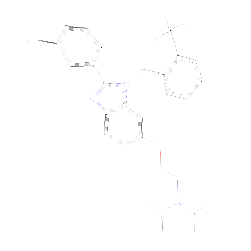 Cc1cccc(-c2nc3ccc(OCCN(C(C)C)C(C)C)cc3n2Cc2ccccc2C(F)(F)F)c1